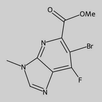 COC(=O)c1nc2c(ncn2C)c(F)c1Br